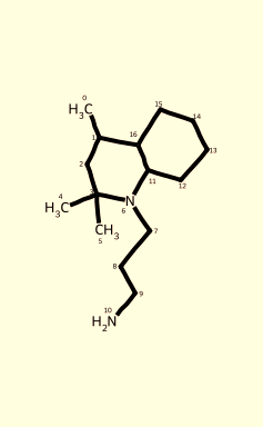 CC1CC(C)(C)N(CCCN)C2CCCCC12